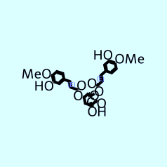 COc1ccc(/C=C/C(=O)OC2CC3(O)CC(OC(=O)/C=C/c4ccc(OC)c(O)c4)C2OC3=O)cc1O